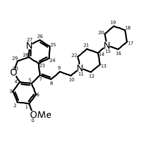 COc1ccc2c(c1)/C(=C/CCN1CCC(N3CCCCC3)CC1)c1cccnc1CO2